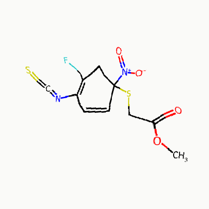 COC(=O)CSC1([N+](=O)[O-])C=CC(N=C=S)=C(F)C1